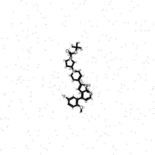 COc1ccc(F)cc1-c1ccnc2[nH]c(C3=CCN(C4CCN(C(=O)OC(C)(C)C)C4)CC3)cc12